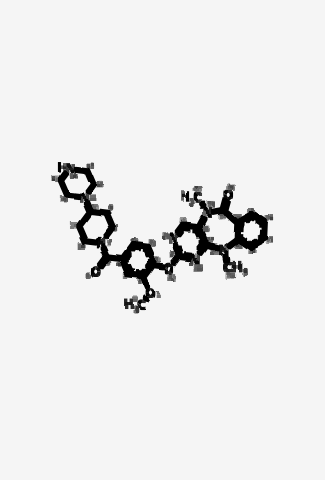 COc1cc(C(=O)N2CCC(N3CCNCC3)CC2)ccc1Oc1ncc2c(n1)N(C)c1ccccc1C(=O)N2C